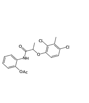 CC(=O)Oc1ccccc1NC(=O)C(C)Oc1ccc(Cl)c(C)c1Cl